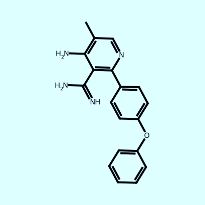 Cc1cnc(-c2ccc(Oc3ccccc3)cc2)c(C(=N)N)c1N